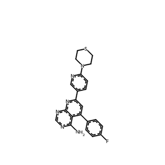 Nc1ncnc2nc(-c3ccc(N4CCSCC4)nc3)cc(-c3ccc(F)cc3)c12